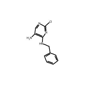 Nc1cnc(Cl)nc1NCc1ccccc1